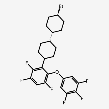 CC[C@H]1CC[C@H](C2CCC(c3c(F)c(F)[c]c(F)c3Oc3cc(F)c(F)c(F)c3)CC2)CC1